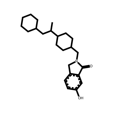 CC(CC1CCCCC1)C1CCC(CN2Cc3ccc(O)cc3C2=O)CC1